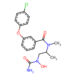 CC(CN(O)C(N)=O)N(C)C(=O)c1cccc(Oc2ccc(Cl)cc2)c1